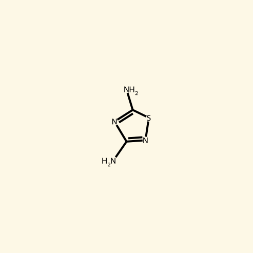 Nc1nsc(N)n1